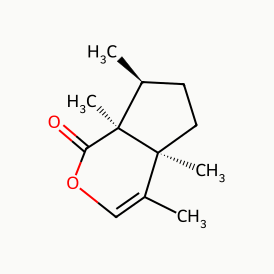 CC1=COC(=O)[C@@]2(C)[C@@H](C)CC[C@@]12C